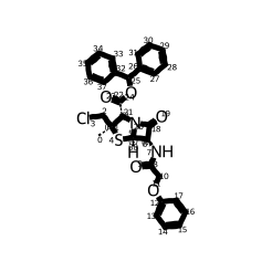 C[C@@]1(CCl)S[C@@H]2[C@H](NC(=O)COc3ccccc3)C(=O)N2[C@H]1C(=O)OC(c1ccccc1)c1ccccc1